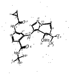 [2H]C([2H])([2H])NC(=O)c1cnc(NC(=O)C2CC2)cc1Nc1cnn2ccc([C@H](C)C(F)(F)F)c(OC)c12